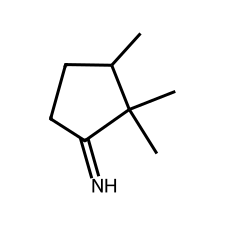 CC1CCC(=N)C1(C)C